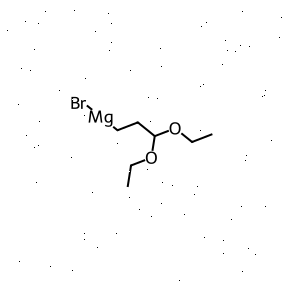 CCOC(C[CH2][Mg][Br])OCC